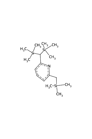 C[Si](C)(C)Cc1cccc(C([Si](C)(C)C)[Si](C)(C)C)n1